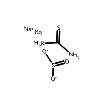 NC(N)=S.O=S([O-])[O-].[Na+].[Na+]